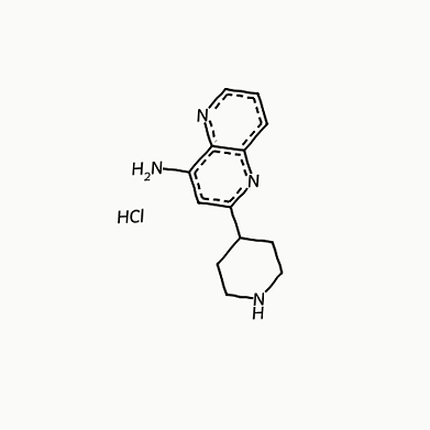 Cl.Nc1cc(C2CCNCC2)nc2cccnc12